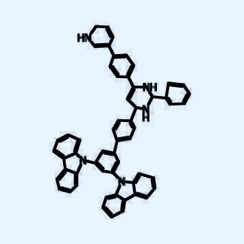 C1=CC(c2ccc(C3=CC(c4ccc(-c5cc(-n6c7ccccc7c7ccccc76)cc(-n6c7ccccc7c7ccccc76)c5)cc4)NC(c4ccccc4)N3)cc2)=CNC1